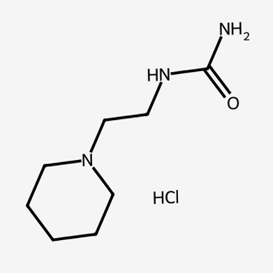 Cl.NC(=O)NCCN1CCCCC1